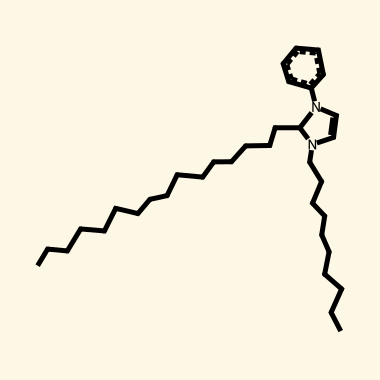 CCCCCCCCCCCCCCCCC1N(CCCCCCCCCC)C=CN1c1ccccc1